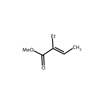 [CH2]C/C(=C\C)C(=O)OC